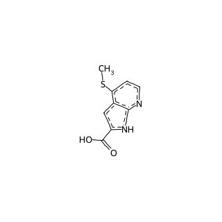 CSc1ccnc2[nH]c(C(=O)O)cc12